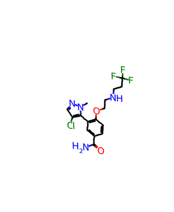 Cn1ncc(Cl)c1-c1cc(C(N)=O)ccc1OCCNCCC(F)(F)F